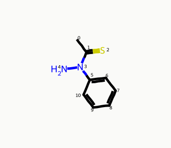 CC(=S)N(N)c1ccccc1